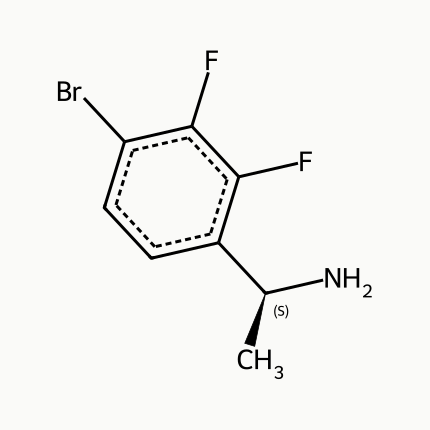 C[C@H](N)c1ccc(Br)c(F)c1F